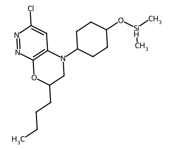 CCCCC1CN(C2CCC(O[SiH](C)C)CC2)c2cc(Cl)nnc2O1